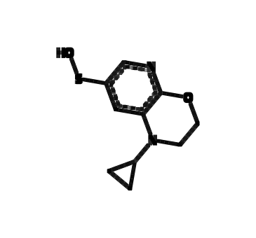 OSc1cnc2c(c1)N(C1CC1)CCO2